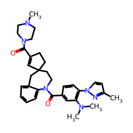 Cc1ccn(-c2ccc(C(=O)N3CCC4(C=C(C(=O)N5CCN(C)CC5)CC4)Cc4ccccc43)cc2N(C)C)n1